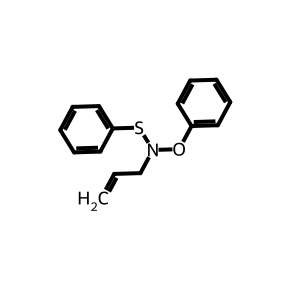 C=CCN(Oc1ccccc1)Sc1ccccc1